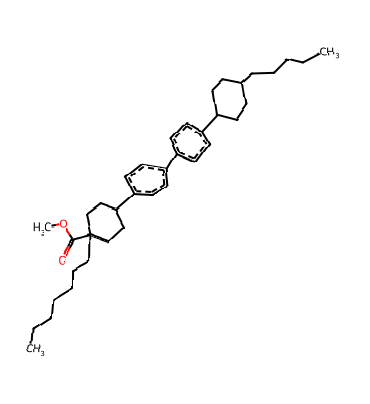 CCCCCCCC1(C(=O)OC)CCC(c2ccc(-c3ccc(C4CCC(CCCCC)CC4)cc3)cc2)CC1